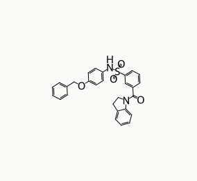 O=C(c1cccc(S(=O)(=O)Nc2ccc(OCc3ccccc3)cc2)c1)N1CCc2ccccc21